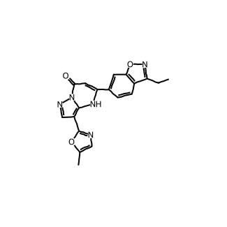 CCc1noc2cc(-c3cc(=O)n4ncc(-c5ncc(C)o5)c4[nH]3)ccc12